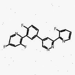 Fc1cnc(-c2cc(-c3cnnc(-c4ncccc4F)c3)ccc2F)c(F)c1